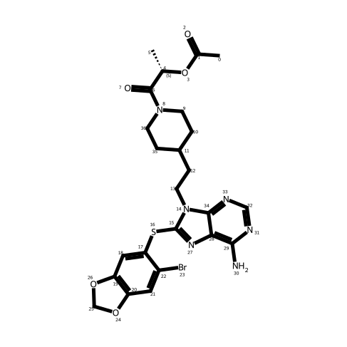 CC(=O)O[C@@H](C)C(=O)N1CCC(CCn2c(Sc3cc4c(cc3Br)OCO4)nc3c(N)ncnc32)CC1